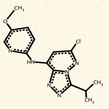 COc1ccc(Nc2cc(Cl)nn3c(C(C)C)nnc23)nc1